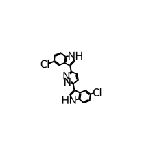 Clc1ccc2[nH]cc(-c3ccc(-c4c[nH]c5ccc(Cl)cc45)nn3)c2c1